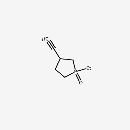 C#CC1CCP(=O)(CC)C1